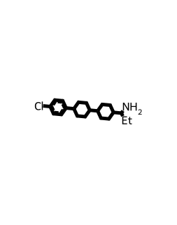 CCC(N)C1CCC(C2CCC(c3ccc(Cl)cc3)CC2)CC1